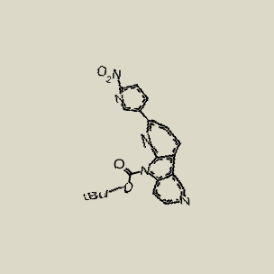 CC(C)(C)OC(=O)n1c2ccncc2c2ccc(-c3ccc([N+](=O)[O-])nc3)nc21